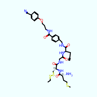 C#CCC(NC(=O)CNC(=O)[C@@H](CSSCC)NC(=O)[C@H](N)CCSC)C(=O)NCc1ccc(C(=O)NCCCOc2ccc(C#N)cc2)cc1